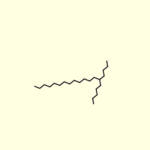 [CH2]CCCC(CCCCC)CCCCCCCCCCCCC